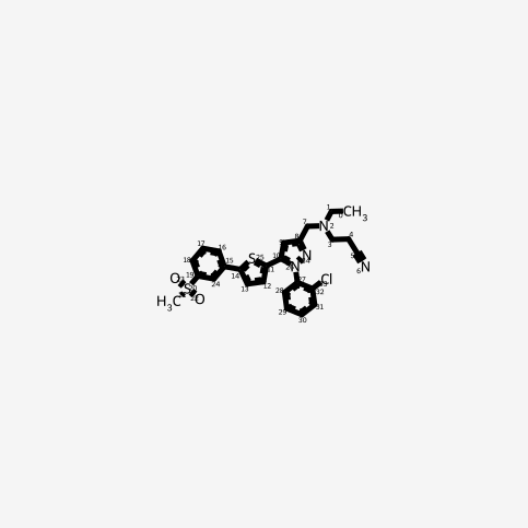 CCN(CCC#N)Cc1cc(-c2ccc(-c3cccc(S(C)(=O)=O)c3)s2)n(-c2ccccc2Cl)n1